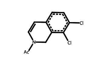 CC(=O)N1C=Cc2ccc(Cl)c(Cl)c2C1